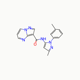 Cc1cccc(-n2nc(C)cc2NC(=O)c2cnn3cccnc23)c1